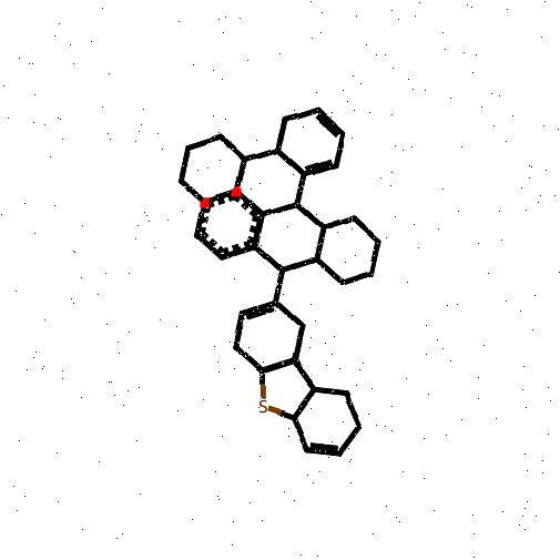 C1=CCC(C2CCCCC2)C(C2c3ccccc3C(C3=CCC4SC5C=CCCC5C4C3)C3CCCCC23)=C1